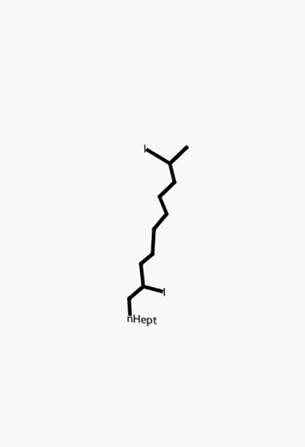 CCCCCCCCC(I)CCCCCCC(C)I